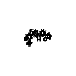 O=C1CCCN1c1cncc(Nc2ncc(F)c(-c3ccc(=O)n(C4CCC4)c3)n2)c1